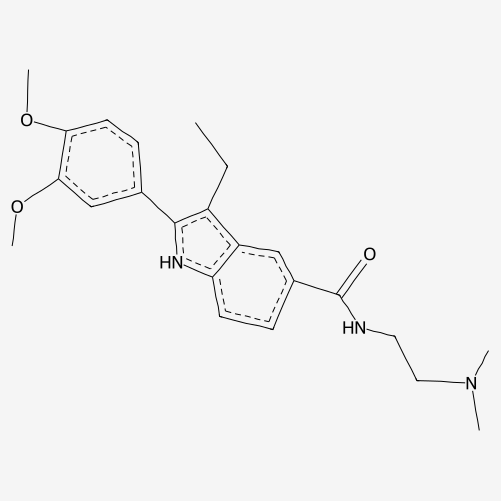 CCc1c(-c2ccc(OC)c(OC)c2)[nH]c2ccc(C(=O)NCCN(C)C)cc12